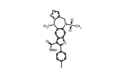 CNC(=O)c1c(-c2ccc(F)cc2)oc2cc3c(cc12)[C@@H](C)n1nncc1CN3S(C)(=O)=O